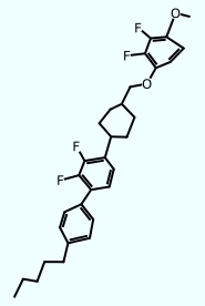 CCCCCc1ccc(-c2ccc(C3CCC(COc4ccc(OC)c(F)c4F)CC3)c(F)c2F)cc1